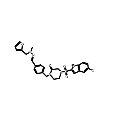 CN(Cc1ccco1)N=Cc1ccc(CN2CCN(S(=O)(=O)c3cc4cc(Cl)ccc4[nH]3)CC2=O)cc1